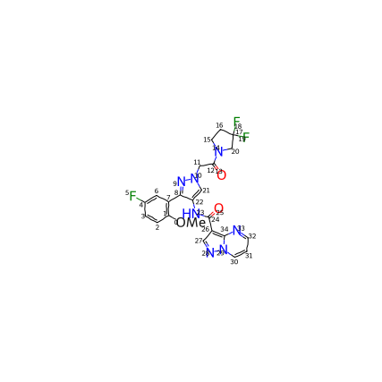 COc1ccc(F)cc1-c1nn(CC(=O)N2CCC(F)(F)C2)cc1NC(=O)c1cnn2cccnc12